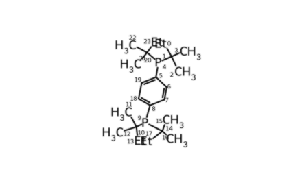 CCC(C)(C)P(c1ccc(P(C(C)(C)CC)C(C)(C)CC)cc1)C(C)(C)CC